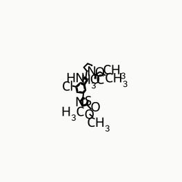 CCOC(=O)c1sc(-c2cc(Cl)c3[nH]c(C4CCCN4C(=O)OC(C)(C)C)cc3c2)nc1C